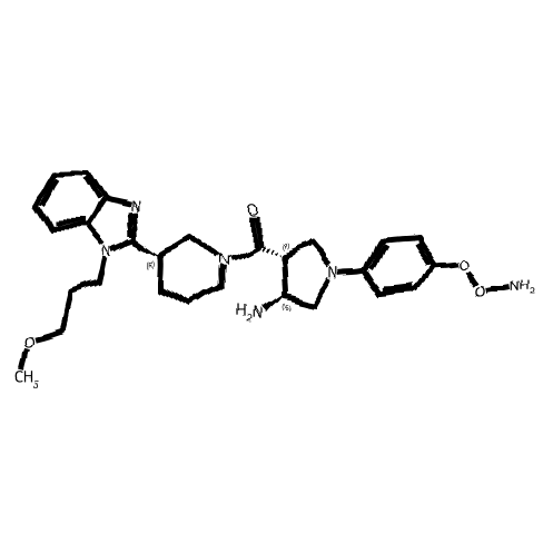 COCCCn1c([C@@H]2CCCN(C(=O)[C@@H]3CN(c4ccc(OON)cc4)C[C@H]3N)C2)nc2ccccc21